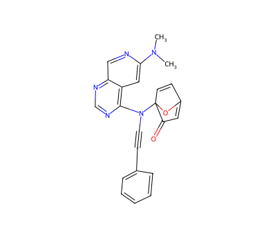 CN(C)c1cc2c(N(C#Cc3ccccc3)C34C=CC(=CC3=O)O4)ncnc2cn1